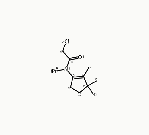 CC1=C(N(C(=O)CCl)C(C)C)CCC1(C)C